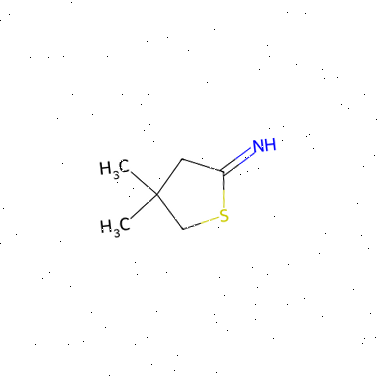 CC1(C)CSC(=N)C1